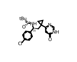 CC(C)(C)[S@+]([O-])N[C@@H](CC1(c2cc(=O)[nH]cn2)CC1)c1ccc(Cl)cc1